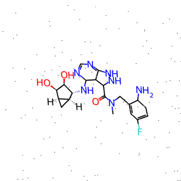 CN(CC1=CC(F)=CCC1N)C(=O)C1NNC2=NC=NC(N[C@H]3[C@H](O)[C@H](O)[C@@H]4C[C@@H]43)C21